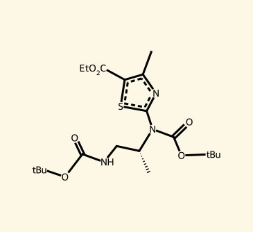 CCOC(=O)c1sc(N(C(=O)OC(C)(C)C)[C@H](C)CNC(=O)OC(C)(C)C)nc1C